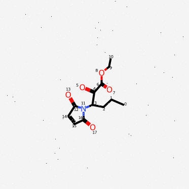 CCCC(C(=O)C(=O)OCC)N1C(=O)C=CC1=O